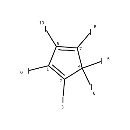 IC1=C(I)C(I)(I)C(I)=C1I